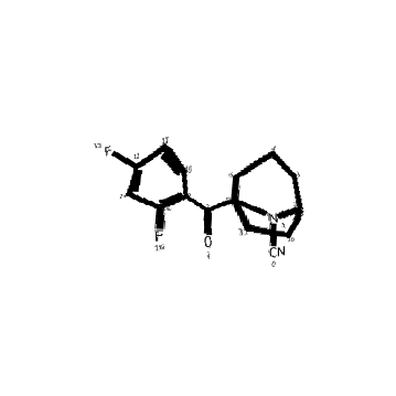 N#CN1C2CCCC1(C(=O)c1ccc(F)cc1F)CC2